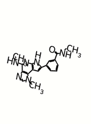 CCNC(=O)c1cccc(-c2cc3c(nc(NC)c4ncn(C)c43)[nH]2)c1